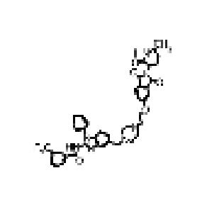 C=C1CCC(N2C(=O)c3ccc(OCCN4CCN(Cc5ccc6c(c5)nc(NC(=O)c5cccc(C(F)(F)F)c5)n6-c5ccccc5)CC4)cc3C2=O)C(=O)N1